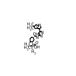 CC1(C)Cc2c(-c3cc(NC(=O)[C@H]4CCC[C@@H](N(C(=O)O)C(C)(C)C)C4)ncn3)cnn2C1